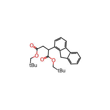 CC(C)(C)COC(=O)CC(C(=O)OCC(C)(C)C)c1cccc2c1Cc1ccccc1-2